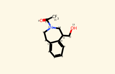 O=C(N1CCc2ccccc2C(CO)C1)C(F)(F)F